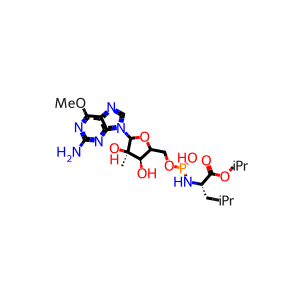 COc1nc(N)nc2c1ncn2C1OC(COP(O)N[C@@H](CC(C)C)C(=O)OC(C)C)[C@@H](O)[C@@]1(C)O